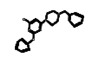 Clc1cc(N2CCN(Cc3ccccc3)CC2)nc(Oc2ccccc2)n1